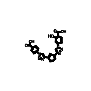 O=C(O)c1ccc(-n2cc(-c3cccc(-c4cn(-c5ccc(C(=O)O)c(O)c5)nn4)c3)nn2)cc1